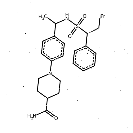 CC(C)C[C@H](c1ccccc1)S(=O)(=O)NC(C)c1ccc(N2CCC(C(N)=O)CC2)cc1